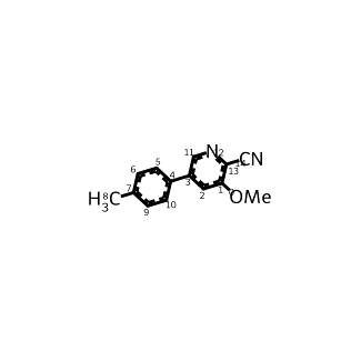 COc1cc(-c2ccc(C)cc2)cnc1C#N